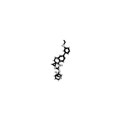 CCOc1cccc(-c2ccc3c(c2)CCC2(CC2)C3NC(=O)O[C@H]2CN3CCC2CC3)c1